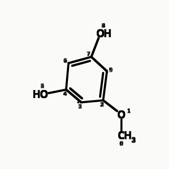 COc1[c]c(O)cc(O)c1